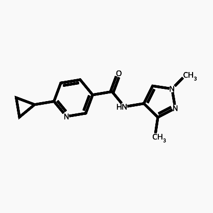 Cc1nn(C)cc1NC(=O)c1ccc(C2CC2)nc1